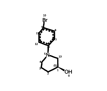 O[C@H]1CCCN(c2ccc(Br)cc2)C1